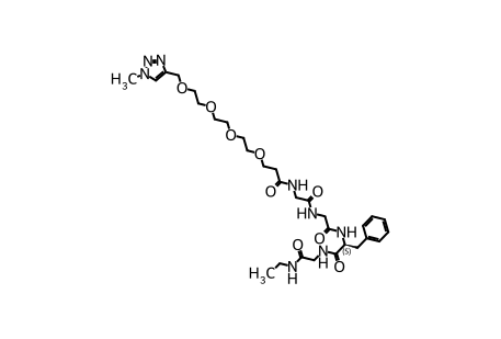 CCNC(=O)CNC(=O)[C@H](Cc1ccccc1)NC(=O)CNC(=O)CNC(=O)CCOCCOCCOCCOCc1cn(C)nn1